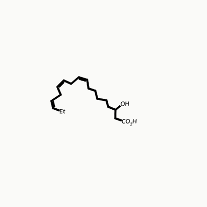 CC/C=C\C/C=C\C/C=C\CCCCCC(O)CC(=O)O